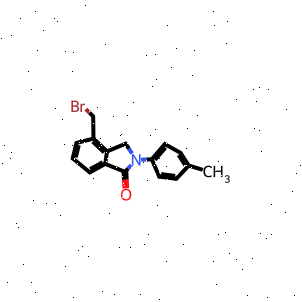 Cc1ccc(N2Cc3c(CBr)cccc3C2=O)cc1